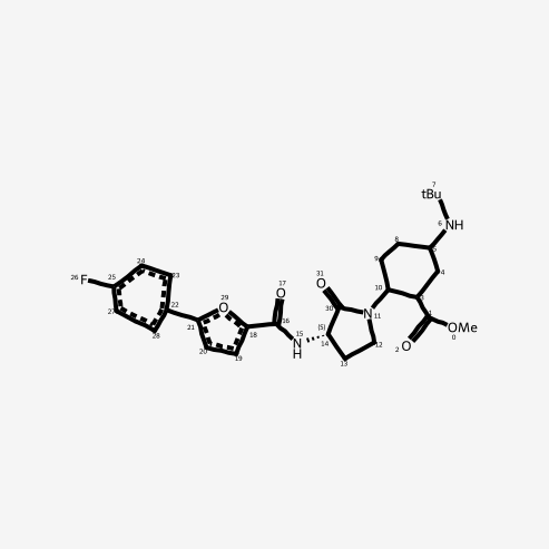 COC(=O)C1CC(NC(C)(C)C)CCC1N1CC[C@H](NC(=O)c2ccc(-c3ccc(F)cc3)o2)C1=O